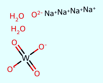 O.O.[Na+].[Na+].[Na+].[Na+].[O-2].[O]=[W](=[O])([O-])[O-]